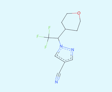 N#Cc1cnn(C(C2CCOCC2)C(F)(F)F)c1